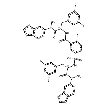 CN(C(=O)[C@H](Cc1cc(F)cc(F)c1)NC(=O)c1cc(S(=O)(=O)N[C@@H](Cc2cc(F)cc(F)c2)C(=O)N(C)c2ccc3scnc3c2)ccc1F)c1ccc2scnc2c1